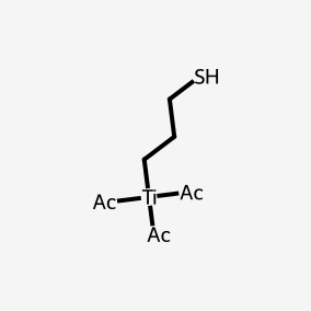 C[C](=O)[Ti]([CH2]CCS)([C](C)=O)[C](C)=O